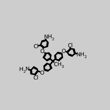 CC(c1ccc(Oc2ccc(N)cc2Cl)cc1)(c1ccc(Oc2ccc(N)cc2Cl)cc1)c1ccc(Oc2ccc(N)cc2Cl)cc1